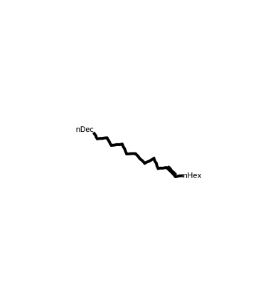 [CH2]CCCCCC=CCCCCCCCCCCCCCCCCCC[CH2]